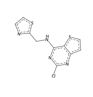 Clc1nc(NCc2nccs2)c2sccc2n1